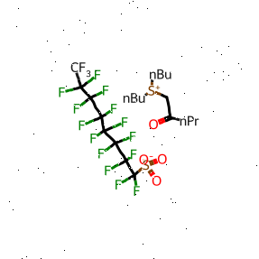 CCCC[S+](CCCC)CC(=O)CCC.O=S(=O)([O-])C(F)(F)C(F)(F)C(F)(F)C(F)(F)C(F)(F)C(F)(F)C(F)(F)C(F)(F)F